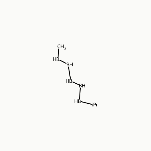 CBBBBBC(C)C